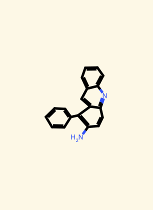 Nc1ccc2nc3ccccc3cc2c1-c1ccccc1